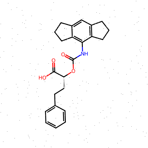 O=C(Nc1c2c(cc3c1CCC3)CCC2)O[C@H](CCc1ccccc1)C(=O)O